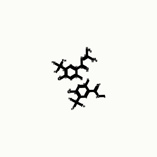 COC(=O)c1cc(C(F)(F)F)c(Cl)cc1C.Cc1cc(Cl)c(C(F)(F)F)cc1C(=O)N=C(N)N